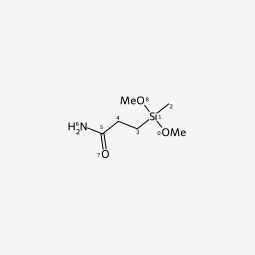 CO[Si](C)(CCC(N)=O)OC